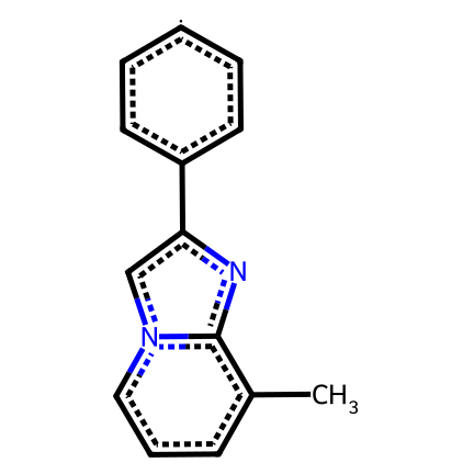 Cc1cccn2cc(-c3cc[c]cc3)nc12